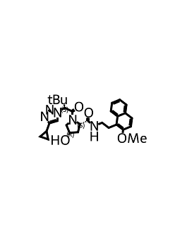 COc1ccc2ccccc2c1CCNC(=O)[C@@H]1C[C@@H](O)CN1C(=O)[C@@H](n1cc(C2CC2)nn1)C(C)(C)C